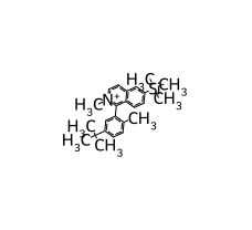 Cc1ccc(C(C)(C)C)cc1-c1c2ccc([Si](C)(C)C)cc2cc[n+]1C